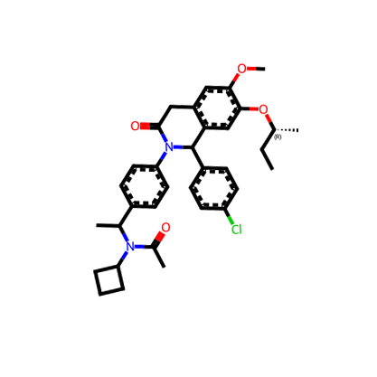 CC[C@@H](C)Oc1cc2c(cc1OC)CC(=O)N(c1ccc(C(C)N(C(C)=O)C3CCC3)cc1)C2c1ccc(Cl)cc1